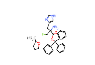 N[C@@](CF)(Cc1c[nH]cn1)C(=O)OC(c1ccccc1)(c1ccccc1)c1ccccc1.O=C(O)C1CCCO1